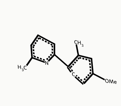 COc1ccc(-c2cccc(C)n2)c(C)c1